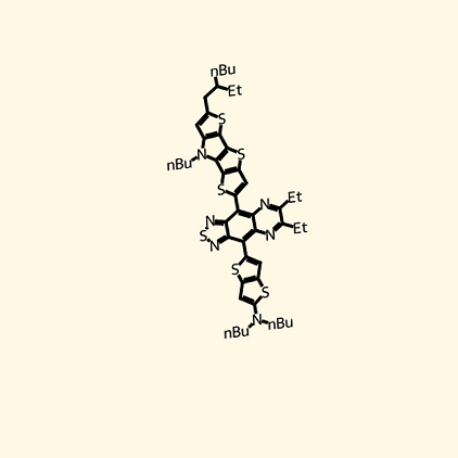 CCCCC(CC)Cc1cc2c(s1)c1sc3cc(-c4c5nsnc5c(-c5cc6sc(N(CCCC)CCCC)cc6s5)c5nc(CC)c(CC)nc45)sc3c1n2CCCC